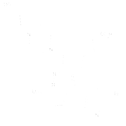 CCc1ccc2c(-c3cncc(Br)c3)c(CCCCC(=O)O)c(CN3CCN(CCO)CC3)nn12